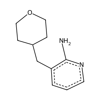 Nc1ncccc1CC1CCOCC1